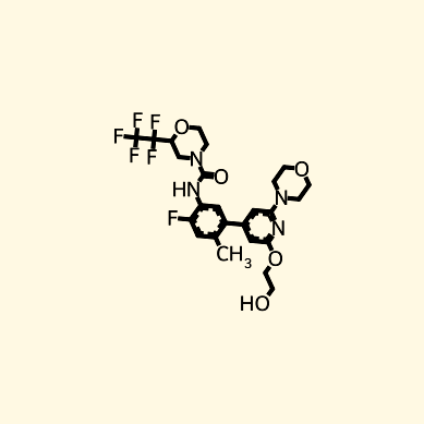 Cc1cc(F)c(NC(=O)N2CCOC(C(F)(F)C(F)(F)F)C2)cc1-c1cc(OCCO)nc(N2CCOCC2)c1